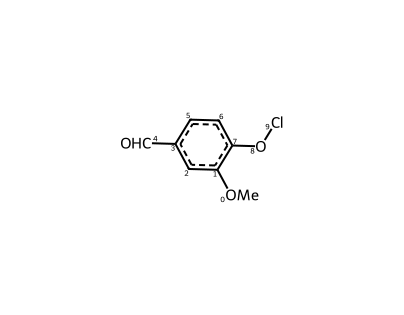 COc1cc(C=O)ccc1OCl